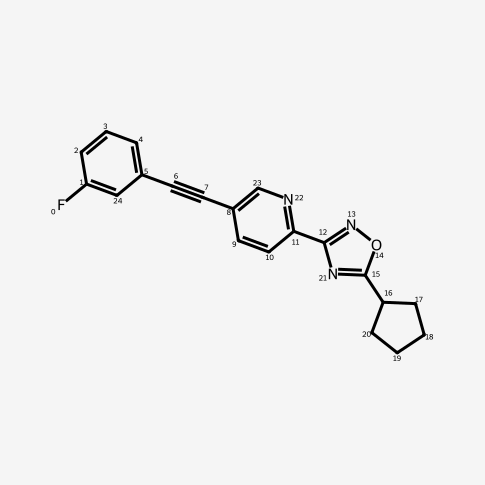 Fc1cccc(C#Cc2ccc(-c3noc(C4CCCC4)n3)nc2)c1